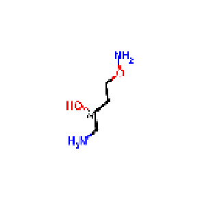 NC[C@H](O)CCON